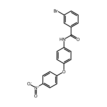 O=C(Nc1ccc(Oc2ccc([N+](=O)[O-])cc2)cc1)c1cccc(Br)c1